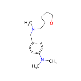 CN(Cc1ccc(N(C)C)cc1)CC1CCCO1